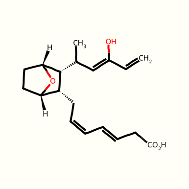 C=CC(O)=CC(C)[C@@H]1[C@H](C/C=C\C=CCC(=O)O)[C@@H]2CC[C@H]1O2